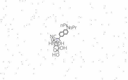 CCCN(CCC)c1ccc2cc(/C(C)=C(\C#N)S(=O)(=O)N[C@H]3CO[C@H](CO)[C@@H](O)[C@@H]3O)ccc2c1